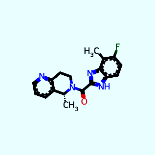 Cc1c(F)ccc2[nH]c(C(=O)N3CCc4ncccc4[C@H]3C)nc12